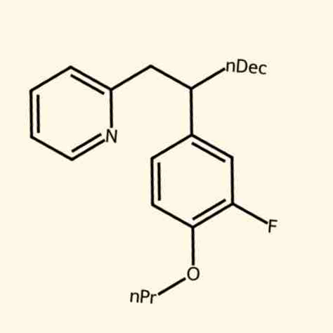 CCCCCCCCCCC(Cc1ccccn1)c1ccc(OCCC)c(F)c1